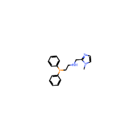 Cn1ccnc1CNCCP(c1ccccc1)c1ccccc1